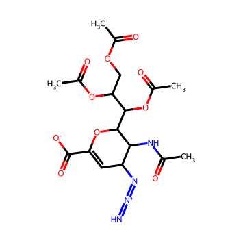 CC(=O)NC1C(N=[N+]=N)C=C(C(=O)[O-])OC1C(OC(C)=O)C(COC(C)=O)OC(C)=O